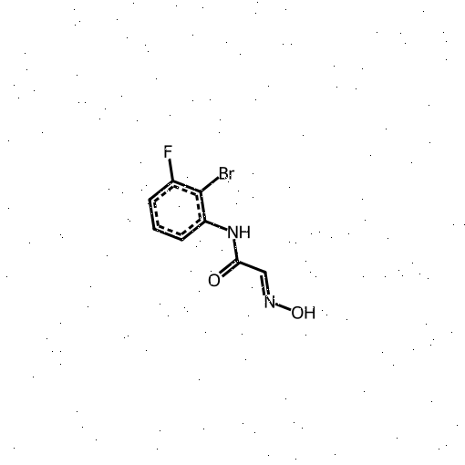 O=C(C=NO)Nc1cccc(F)c1Br